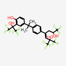 CC(C)(c1ccc(/C(=C/C(O)(C(F)(F)F)C(F)(F)F)CC(O)C(F)(F)F)cc1)c1ccc(O)c(C(O)(C(F)(F)F)C(F)(F)F)c1